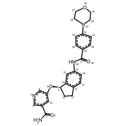 NC(=O)c1cncc(O[C@@H]2CCc3ccc(NC(=O)c4ccc(N5CCOCC5)cc4)cc32)c1